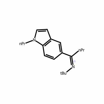 CCC/C(=N/C(C)(C)C)c1ccc2c(ccn2CCC)c1